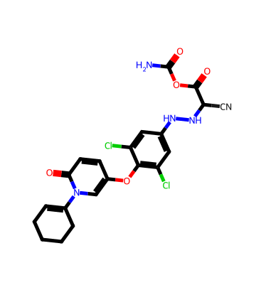 N#CC(NNc1cc(Cl)c(Oc2ccc(=O)n(C3=CCCCC3)c2)c(Cl)c1)C(=O)OC(N)=O